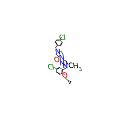 Cc1cc(N2CCN(Cc3ccc(Cl)cc3)CC2=O)nn1Cc1cc(Cl)ccc1OCC1CC1